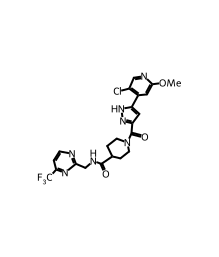 COc1cc(-c2cc(C(=O)N3CCC(C(=O)NCc4nccc(C(F)(F)F)n4)CC3)n[nH]2)c(Cl)cn1